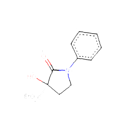 CCOC(=O)[C@@]1(O)CCN(c2ccccc2)C1=O